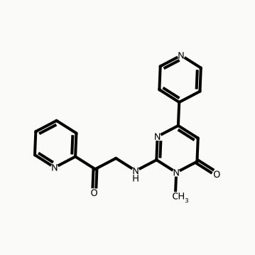 Cn1c(NCC(=O)c2ccccn2)nc(-c2ccncc2)cc1=O